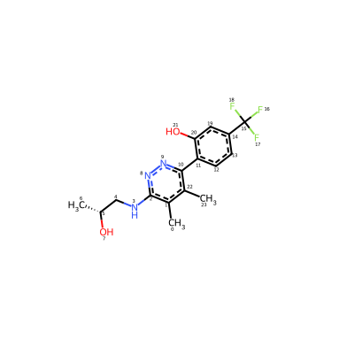 Cc1c(NC[C@@H](C)O)nnc(-c2ccc(C(F)(F)F)cc2O)c1C